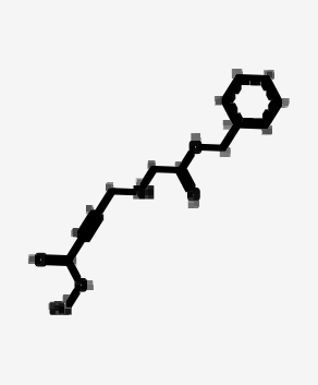 CC(C)(C)OC(=O)C#CCNCC(=O)OCc1ccccc1